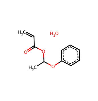 C=CC(=O)OC(C)Oc1ccccc1.O